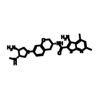 CN[C@H]1CN(c2ccc3c(c2)OC[C@H](NC(=O)c2sc4nc(C)cc(C)c4c2N)C3)C[C@@H]1N